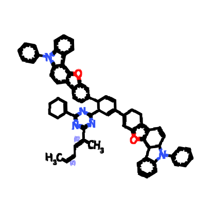 C/C=C\C=C(/C)c1nc(C2=CCCCC2)nc(C2C=C(C3=Cc4oc5c(c4CC3)C=CC3C5c4cc#ccc4N3c3ccccc3)C=CC2c2ccc3c(c2)oc2c3ccc3c2c2ccccc2n3-c2ccccc2)n1